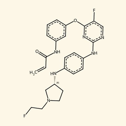 C=CC(=O)Nc1cccc(Oc2nc(Nc3ccc(N[C@@H]4CCN(CCF)C4)cc3)ncc2F)c1